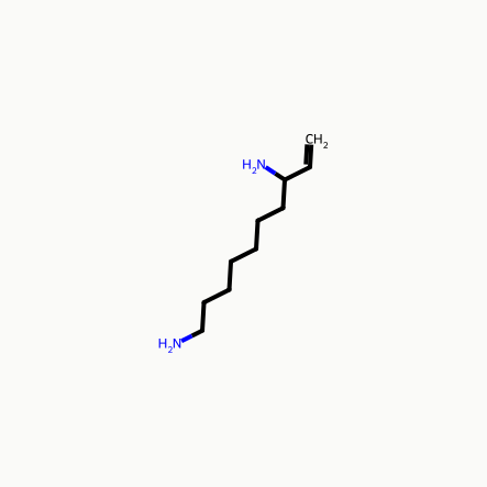 C=CC(N)CCCCCCCN